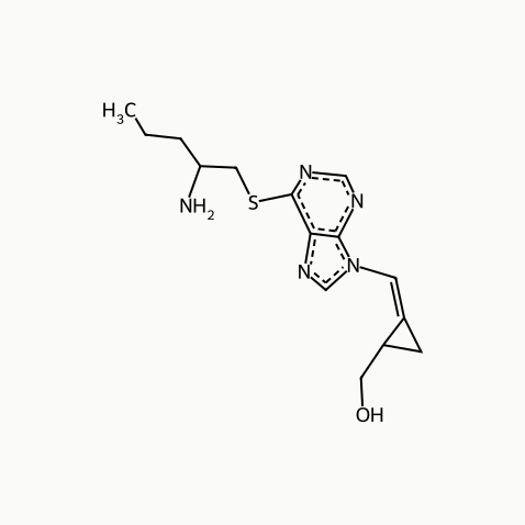 CCCC(N)CSc1ncnc2c1ncn2C=C1CC1CO